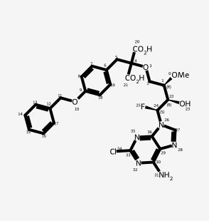 CO[C@H](COC(Cc1ccc(OCc2ccccc2)cc1)(C(=O)O)C(=O)O)[C@@H](O)[C@H](F)n1cnc2c(N)nc(Cl)nc21